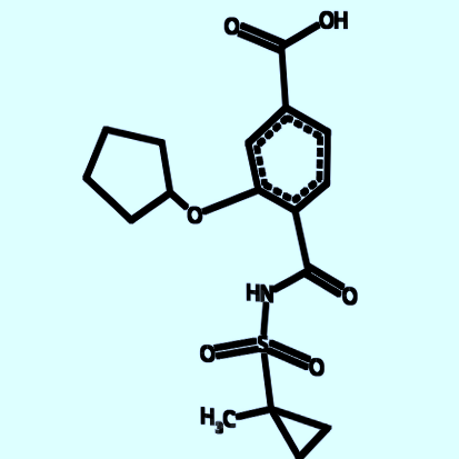 CC1(S(=O)(=O)NC(=O)c2ccc(C(=O)O)cc2OC2CCCC2)CC1